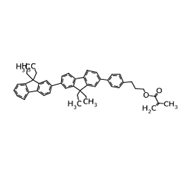 C=C(C)C(=O)OCCCc1ccc(-c2ccc3c(c2)C(CC)(CC)c2cc(-c4ccc5c(c4)C(CC)(CC)c4ccccc4-5)ccc2-3)cc1